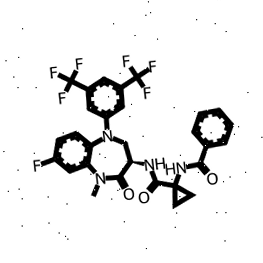 CN1C(=O)[C@H](NC(=O)C2(NC(=O)c3ccccc3)CC2)CN(c2cc(C(F)(F)F)cc(C(F)(F)F)c2)c2ccc(F)cc21